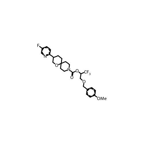 COc1ccc(COCC(OC(=O)N2CCC3(CCC(c4ccc(F)cn4)CO3)CC2)C(F)(F)F)cc1